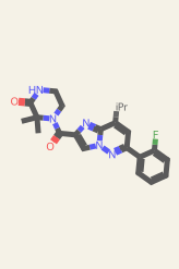 CC(C)c1cc(-c2ccccc2F)nn2cc(C(=O)N3CCNC(=O)C3(C)C)nc12